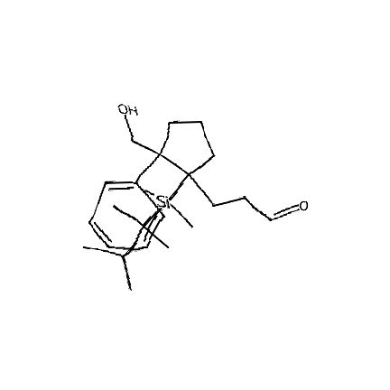 CC(C)C(C)(C)[Si](C)(C)C1(CCC=O)CCCC1(CO)c1ccccc1